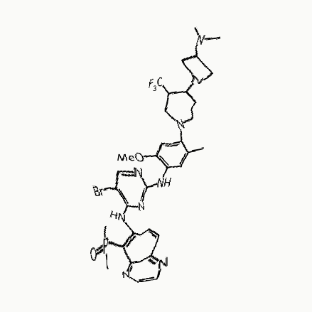 COc1cc(N2CCC(N3CC(N(C)C)C3)C(C(F)(F)F)C2)c(C)cc1Nc1ncc(Br)c(Nc2ccc3nccnc3c2P(C)(C)=O)n1